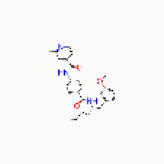 CCCC[C@@H](Cc1cccc(OC)c1)NC(=O)c1ccc(NC(=O)c2ccnc(C)c2)cc1